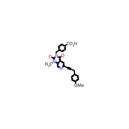 COc1ccc(CC#Cc2cc3c(=O)n(Cc4ccc(C(=O)O)cc4)c(=O)n(C)c3cn2)cc1